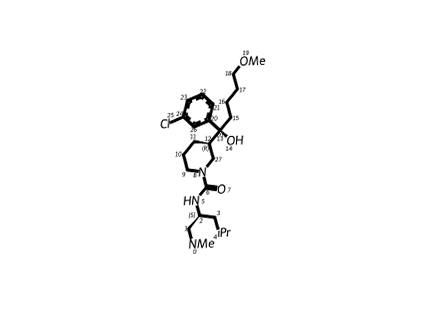 CNC[C@H](CC(C)C)NC(=O)N1CCC[C@@H]([C@@](O)(CCCCOC)c2cccc(Cl)c2)C1